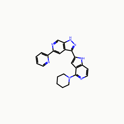 c1ccc(-c2cc3c(-c4cc5c(N6CCCCC6)nccc5[nH]4)n[nH]c3cn2)nc1